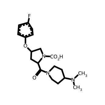 CN(C)C1CCN(C(=O)C2CC(Oc3ccc(F)cc3)CN2C(=O)O)CC1